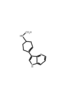 O=C(O)NC1CC=C(c2c[nH]c3cccnc23)CC1